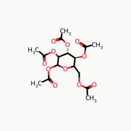 CC(=O)OCC1OC(OC(C)=O)C(OC(C)=O)[C@H](OC(C)=O)[C@H]1OC(C)=O